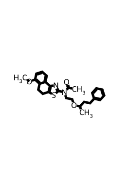 COc1cccc2c1CCc1sc(N(CCOC(C)CCc3ccccc3)C(C)=O)nc1-2